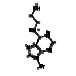 CC(C)n1cnc2c1N=CNC2NCCO